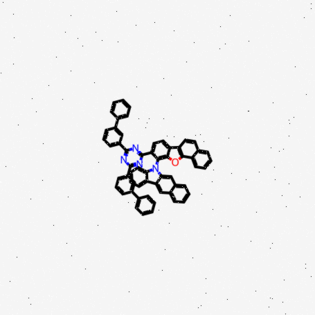 c1ccc(-c2cccc(-c3nc(-c4cccc(-c5ccccc5)c4)nc(-c4ccc5c(oc6c7ccccc7ccc56)c4-n4c5ccccc5c5cc6ccccc6cc54)n3)c2)cc1